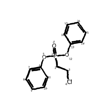 O=P(CCCl)(Oc1ccccc1)Oc1ccccc1